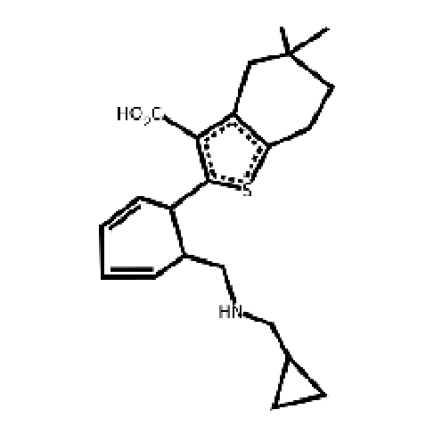 CC1(C)CCc2sc(C3C=CC=CC3CNCC3CC3)c(C(=O)O)c2C1